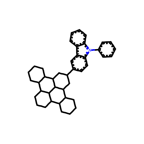 c1ccc(-n2c3ccccc3c3cc(C4CC5C6CCCCC6C6CCCC7C8CCCCC8C(C4)C5C67)ccc32)cc1